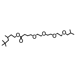 CC(C)COCCOCCOCCOCCCC(=O)OCCC(C)CC(C)(C)C